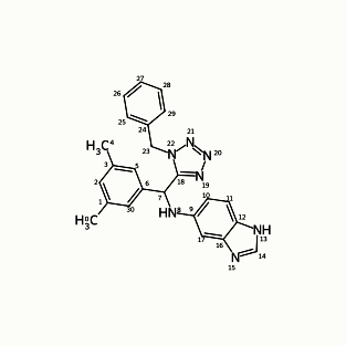 Cc1cc(C)cc(C(Nc2ccc3[nH]cnc3c2)c2nnnn2Cc2ccccc2)c1